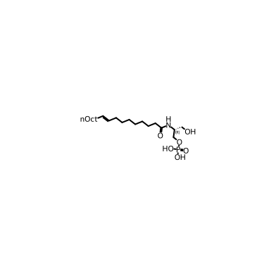 CCCCCCCCC=CCCCCCCCC(=O)N[C@H](CO)COP(=O)(O)O